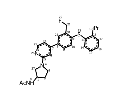 CC(=O)NC1CCN(c2cc(-c3ccc(Sc4ccccc4C(C)C)c(CF)c3)ccn2)C1